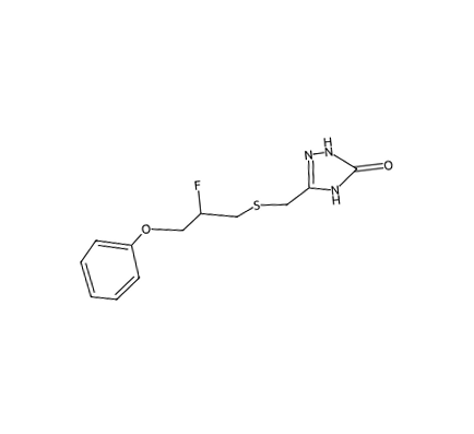 O=c1[nH]nc(CSCC(F)COc2ccccc2)[nH]1